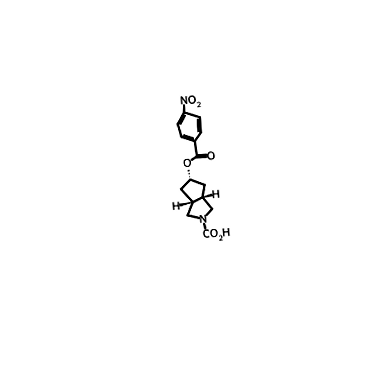 O=C(O[C@@H]1C[C@@H]2CN(C(=O)O)C[C@@H]2C1)c1ccc([N+](=O)[O-])cc1